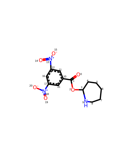 O=C(OC1CCCCCN1)c1cc([N+](=O)[O-])cc([N+](=O)[O-])c1